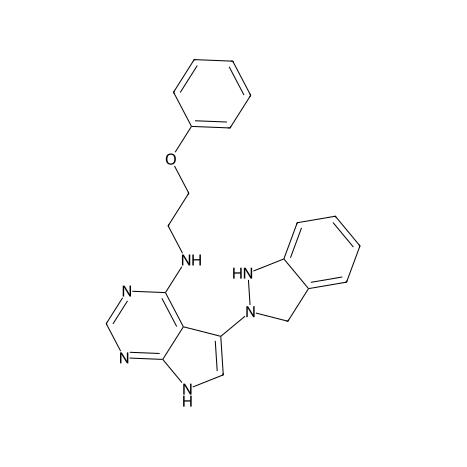 c1ccc(OCCNc2ncnc3[nH]cc(N4Cc5ccccc5N4)c23)cc1